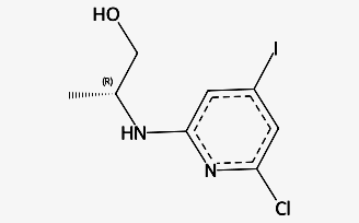 C[C@H](CO)Nc1cc(I)cc(Cl)n1